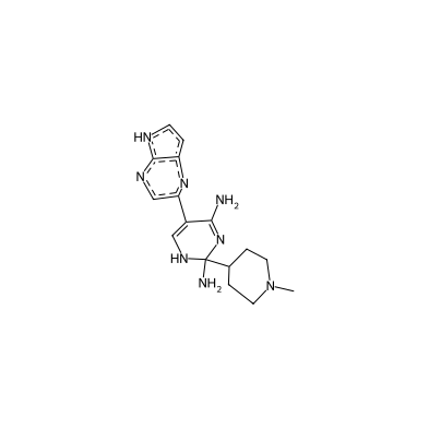 CN1CCC(C2(N)N=C(N)C(c3cnc4[nH]ccc4n3)=CN2)CC1